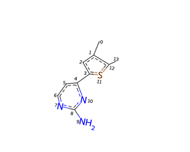 Cc1cc(-c2ccnc(N)n2)sc1C